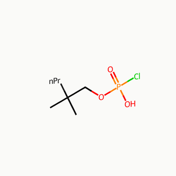 CCCC(C)(C)COP(=O)(O)Cl